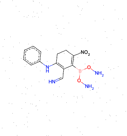 N=CC1=C(Nc2ccccc2)CCC([N+](=O)[O-])=C1B(ON)ON